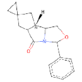 O=C1C2CC3(CC3)C[C@@H]2C2COC(c3ccccc3)N12